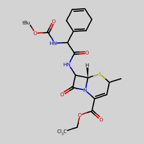 CC1C=C(C(=O)OCC(Cl)(Cl)Cl)N2C(=O)C(NC(=O)C(NC(=O)OC(C)(C)C)C3=CCC=CC3)[C@@H]2S1